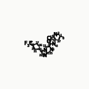 Cc1cnc(Cl)c(N(C)C(=O)c2cn3c(-c4ccc(C(F)(F)F)cc4)cnc3cn2)c1